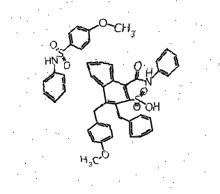 COc1ccc(Cc2c(Cc3ccccc3)c(S(=O)(=O)O)c(C(=O)Nc3ccccc3)c3ccccc23)cc1.COc1ccc(S(=O)(=O)Nc2ccccc2)cc1